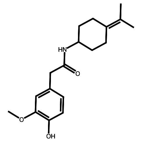 COc1cc(CC(=O)NC2CCC(=C(C)C)CC2)ccc1O